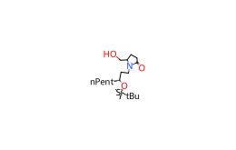 CCCCC[C@@H](CCN1C(=O)CCC1CO)O[Si](C)(C)C(C)(C)C